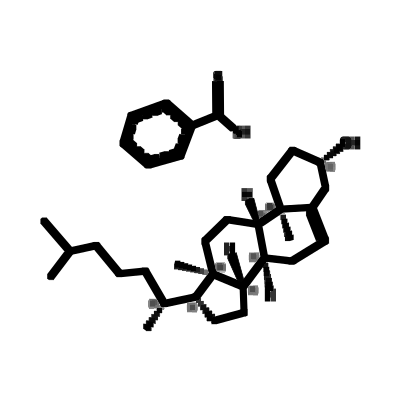 CC(C)CCC[C@@H](C)[C@H]1CC[C@H]2[C@@H]3CC=C4C[C@@H](O)CC[C@]4(C)[C@H]3CC[C@]12C.S=C(S)c1ccccc1